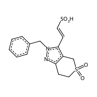 O=S(=O)(O)/C=C/c1c2c(nn1Cc1ccccc1)CCS(=O)(=O)C2